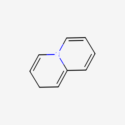 [C]1=CC=CC2=CCC=CN12